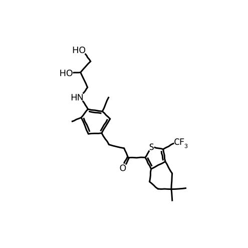 Cc1cc(CCC(=O)c2sc(C(F)(F)F)c3c2CCC(C)(C)C3)cc(C)c1NCC(O)CO